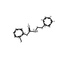 Cc1ccccc1CC(=O)NCCc1ccccc1